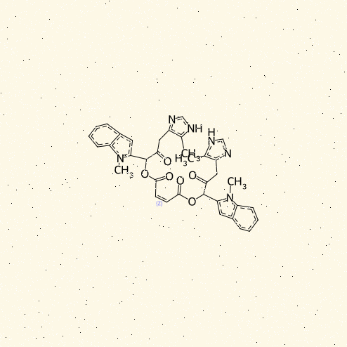 Cc1[nH]cnc1CC(=O)C(OC(=O)/C=C\C(=O)OC(C(=O)Cc1nc[nH]c1C)c1cc2ccccc2n1C)c1cc2ccccc2n1C